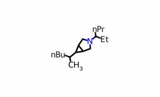 CCCCC(C)C1C2CN(C(CC)CCC)CC21